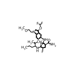 C=C(C)C(CCC)Nc1nc(Nc2ccc3c(c2)c(OC(F)F)cn3CCOC)c(C(N)=O)cc1F